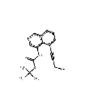 CC(C)(C)OC(=O)Nc1cncc2cccc(C#CCO)c12